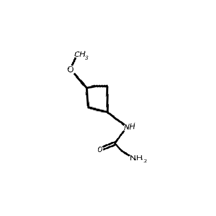 COC1CC(NC(N)=O)C1